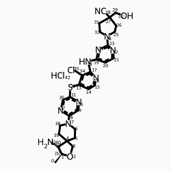 C[C@@H]1OCC2(CCN(c3cnc(Sc4ccnc(Nc5ccnc(N6CCC(C#N)(CO)CC6)n5)c4Cl)cn3)CC2)[C@@H]1N.Cl